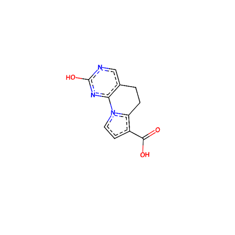 O=C(O)c1ccn2c1CCc1cnc(O)nc1-2